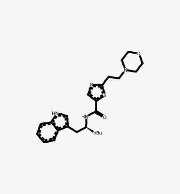 CCCC[C@@H](Cc1c[nH]c2ccccc12)NC(=O)c1cnc(CCN2CCOCC2)s1